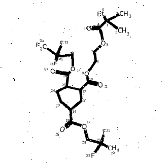 CCC(C)(C)C(=O)OCCOC(=O)C1CC(C(=O)OCC(C)(F)F)CCC1C(=O)OCC(F)(F)C(F)(F)F